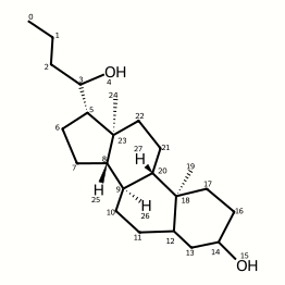 CCCC(O)[C@H]1CC[C@H]2[C@@H]3CCC4CC(O)CC[C@]4(C)[C@H]3CC[C@]12C